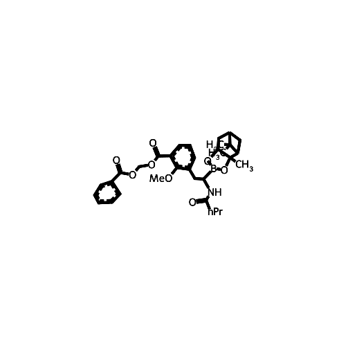 CCCC(=O)NC(Cc1cccc(C(=O)OCOC(=O)c2ccccc2)c1OC)B1OC2CC3CC(C3(C)C)C2(C)O1